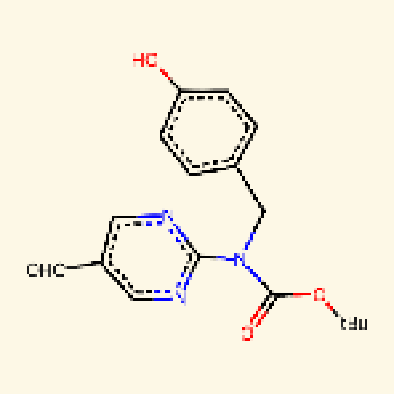 CC(C)(C)OC(=O)N(Cc1ccc(O)cc1)c1ncc(C=O)cn1